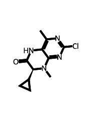 Cc1nc(Cl)nc2c1NC(=O)[C@H](C1CC1)N2C